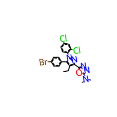 CCc1c(-c2nnc(N(C)C)o2)nn(-c2ccc(Cl)cc2Cl)c1-c1ccc(Br)cc1